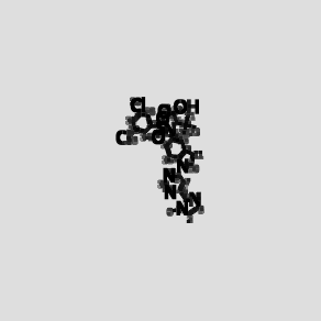 Cn1ccnc1-c1cc(-n2ccc3cc(N(C(C(=O)O)C(C)(C)C)S(=O)(=O)c4cc(Cl)cc(Cl)c4)ccc32)ncn1